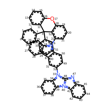 c1ccc(C2(c3ccccc3)c3ccccc3Oc3cccc(-n4c5ccccc5c5cc(-n6c7ccccc7n7c8ccccc8nc67)ccc54)c32)cc1